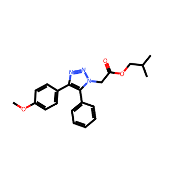 COc1ccc(-c2nnn(CC(=O)OCC(C)C)c2-c2ccccc2)cc1